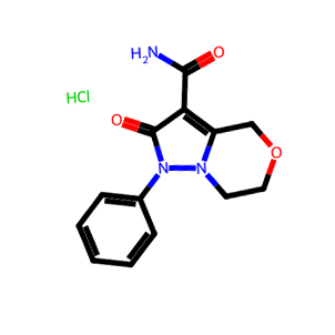 Cl.NC(=O)c1c2n(n(-c3ccccc3)c1=O)CCOC2